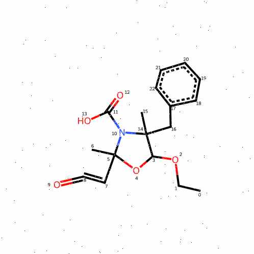 CCOC1OC(C)(C=C=O)N(C(=O)O)C1(C)Cc1ccccc1